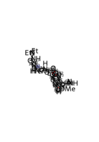 CCN(CC)CCNC(=O)c1c(C)[nH]c(/C=C2\C(=O)Nc3ccc(NC(=O)CCC(=O)C(C)(CC)O[C@@H](C)C(=O)C(C)(CC)OCCN(Cc4cccc(OC)c4)C(=O)Nc4ccc(-c5cn[nH]c5)cc4OCCN4CCCC4)cc32)c1C